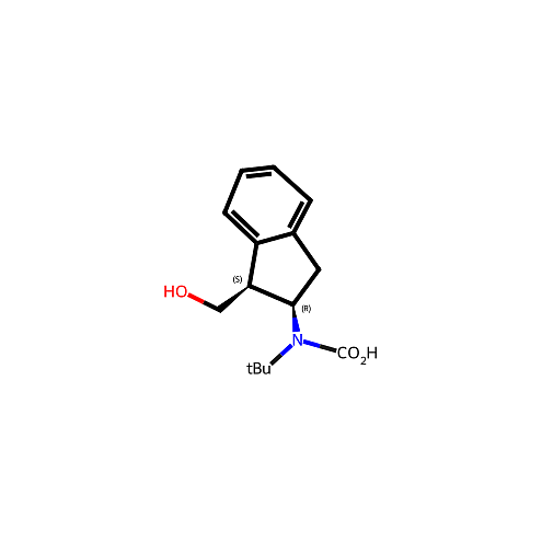 CC(C)(C)N(C(=O)O)[C@@H]1Cc2ccccc2[C@@H]1CO